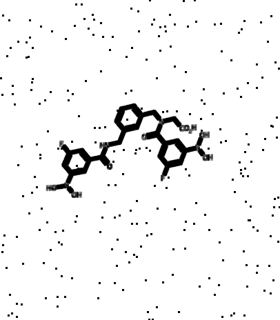 O=C(O)CN(Cc1cccc(CNC(=O)c2cc(F)cc(B(O)O)c2)c1)C(=O)c1cc(F)cc(B(O)O)c1